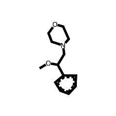 COC(CN1CCOCC1)c1ccccc1